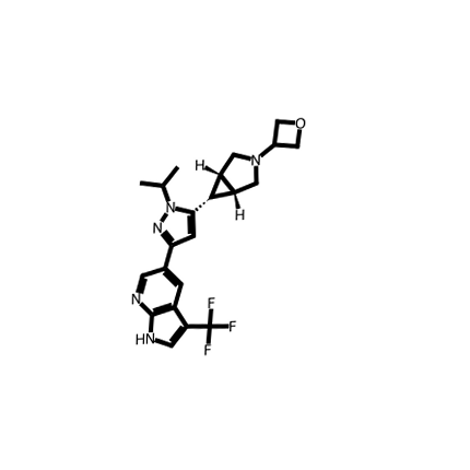 CC(C)n1nc(-c2cnc3[nH]cc(C(F)(F)F)c3c2)cc1[C@@H]1[C@@H]2CN(C3COC3)C[C@@H]21